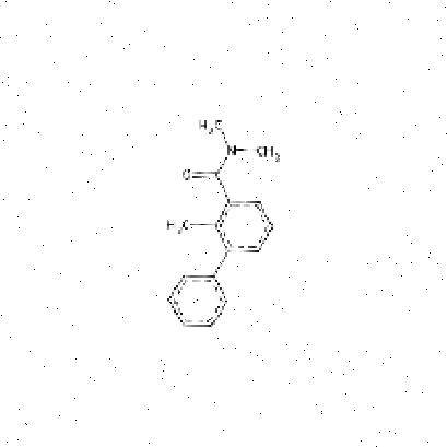 Cc1c(C(=O)N(C)C)cccc1-c1ccccc1